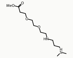 COC(=O)CCOCCOCCNCCC[SiH](C)C